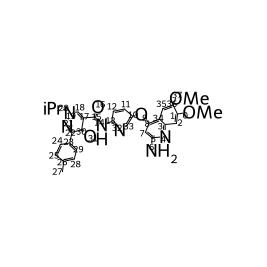 COc1cc2nc(N)cc(Oc3ccc(NC(=O)c4cn(C(C)C)nc(-c5ccc(C)cc5)c4=O)nc3)c2cc1OC